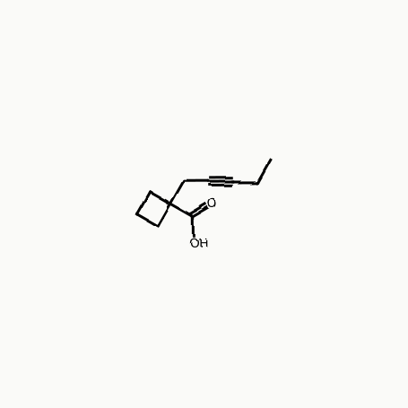 CCC#CCC1(C(=O)O)CCC1